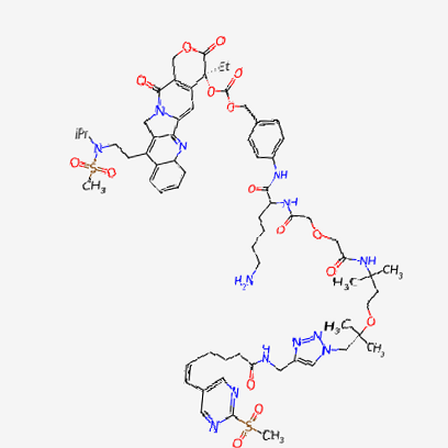 CC[C@@]1(OC(=O)OCc2ccc(NC(=O)C(CCCCN)NC(=O)COCC(=O)NC(C)(C)CCOC(C)(C)Cn3cc(CNC(=O)CCC/C=C\c4cnc(S(C)(=O)=O)nc4)nn3)cc2)C(=O)OCc2c1cc1n(c2=O)CC2=C(CCN(C(C)C)S(C)(=O)=O)C3=CC=CCC3N=C21